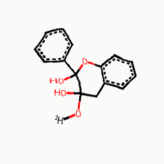 [2H]OC1(O)Cc2ccccc2OC1(O)c1ccccc1